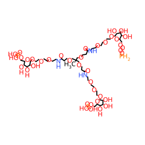 CC(COCCC(=O)NCCOCCOCCOC1OC(COOOOP)C(O)C(O)C1O)(COCCC(=O)NCCOCCOCCOC1OC(COP(=O)(O)O)C(O)C(O)C1O)COCCC(=O)NCCOCCOCCOC1OC(COP(=O)(O)O)C(O)C(O)C1O